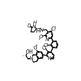 COc1cc(-c2nccc(-c3cccc(-c4cc(Cl)c(CNC[C@H]5CCC(=O)N5)c(OC)n4)c3Cl)c2Cl)cc2c1CN(C[C@H](C)O)CC2